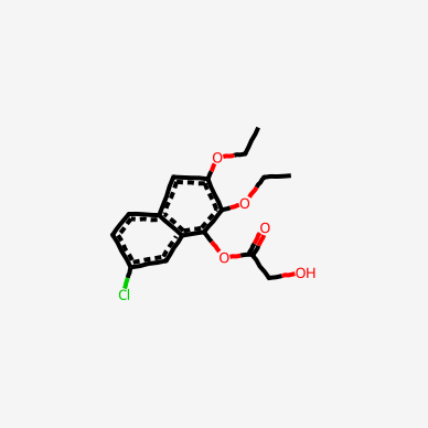 CCOc1cc2ccc(Cl)cc2c(OC(=O)CO)c1OCC